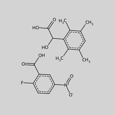 Cc1cc(C)c(C)c(C(O)C(=O)O)c1C.O=C(O)c1cc([N+](=O)[O-])ccc1F